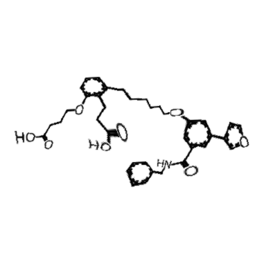 O=C(O)CCCOc1cccc(CCCCCCOc2cc(C(=O)NCc3ccccc3)cc(-c3ccoc3)c2)c1CCC(=O)O